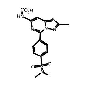 Cc1nc2cc(NC(=O)O)nc(-c3ccc(S(=O)(=O)N(C)C)cc3)n2n1